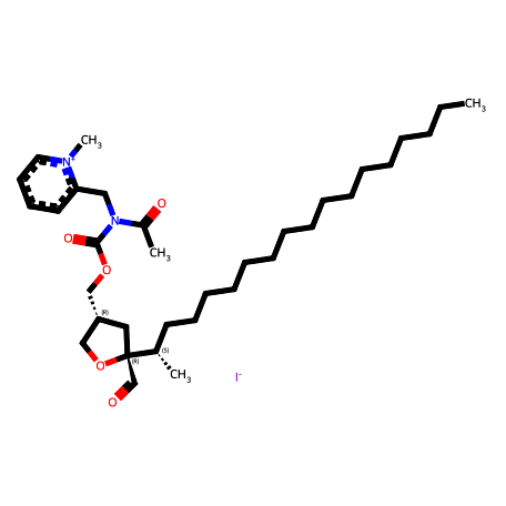 CCCCCCCCCCCCCCCC[C@H](C)[C@@]1(C=O)C[C@@H](COC(=O)N(Cc2cccc[n+]2C)C(C)=O)CO1.[I-]